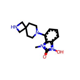 Cn1c(=O)n(O)c2cccc(N3CCC4(CC3)CNC4)c21